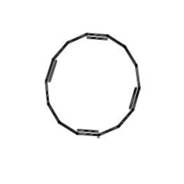 [C]1=CCCC=CCC=CCCC=CC1